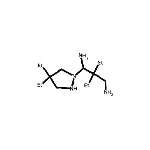 CCC1(CC)CNN(C(N)C(CC)(CC)CN)C1